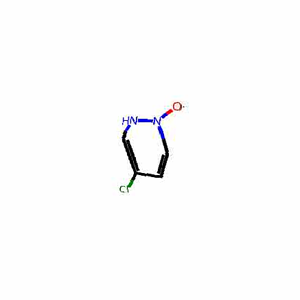 [O]N1C=CC(Cl)=CN1